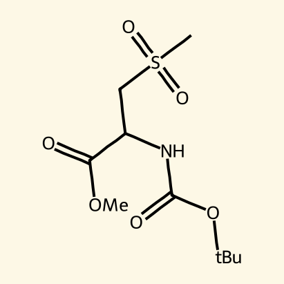 COC(=O)C(CS(C)(=O)=O)NC(=O)OC(C)(C)C